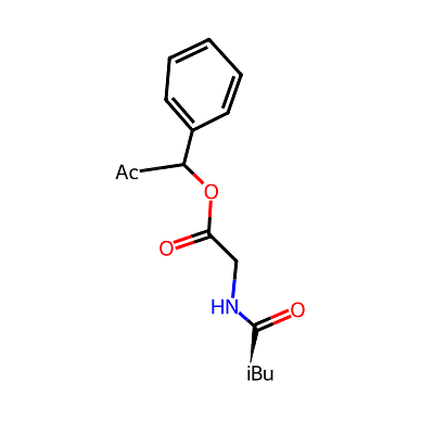 CC[C@H](C)C(=O)NCC(=O)OC(C(C)=O)c1ccccc1